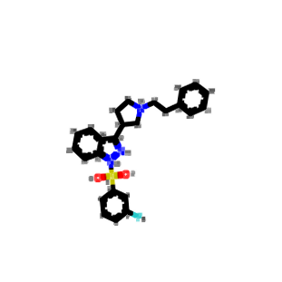 O=S(=O)(c1cccc(F)c1)n1nc(C2CCN(CCc3ccccc3)C2)c2ccccc21